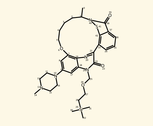 CC1CCCCOc2cc(N3CCN(C)CC3)cc3c2nc(c(=O)n3COCC[Si](C)(C)C)-c2cccc3c(=O)n1sc23